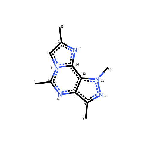 Cc1cn2c(C)nc3c(C)nn(C)c3c2n1